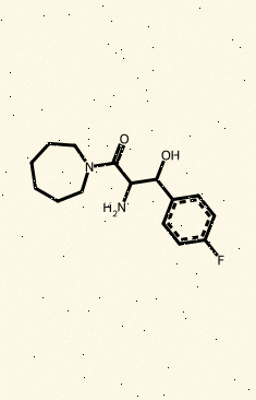 NC(C(=O)N1CCCCCC1)C(O)c1ccc(F)cc1